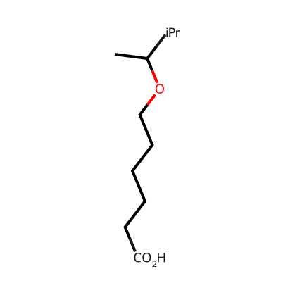 CC(C)C(C)OCCCCCC(=O)O